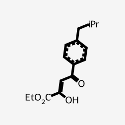 CCOC(=O)C(O)=CC(=O)c1ccc(CC(C)C)cc1